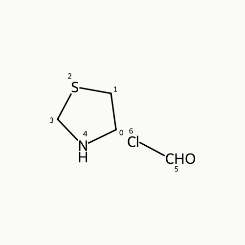 C1CSCN1.O=CCl